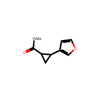 COC(=O)C1CC1c1ccoc1